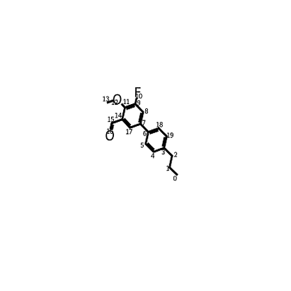 CCCc1ccc(-c2cc(F)c(OC)c(C=O)c2)cc1